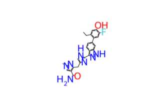 CCc1cc(O)c(F)cc1-c1ccc2c(-c3nc(Cc4nn(C)cc4C(N)=O)c[nH]3)n[nH]c2c1